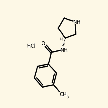 Cc1cccc(C(=O)N[C@@H]2CCNC2)c1.Cl